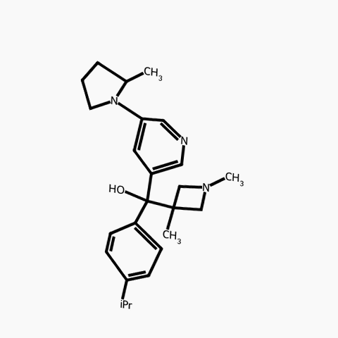 CC(C)c1ccc(C(O)(c2cncc(N3CCCC3C)c2)C2(C)CN(C)C2)cc1